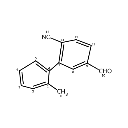 Cc1ccccc1-c1cc(C=O)ccc1C#N